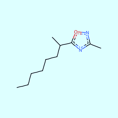 CCCCCCC(C)c1nc(C)no1